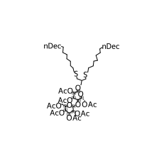 CCCCCCCCCCCCCCCCCCSCC(CO[C@@H]1O[C@H](COC(C)=O)[C@@H](O[C@@H]2O[C@H](COC(C)=O)[C@H](OC(C)=O)[C@H](OC(C)=O)[C@H]2OC(C)=O)[C@H](OC(C)=O)[C@H]1OC(C)=O)CSCCCCCCCCCCCCCCCCCC